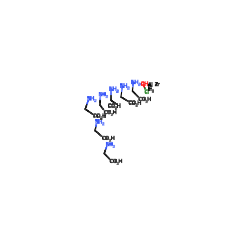 NCC(=O)O.NCC(=O)O.NCC(=O)O.NCC(=O)O.NCC(=O)O.NCC(=O)O.NCC(=O)O.OCl.[AlH3].[Zr]